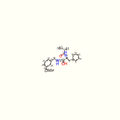 CCCCC(CC)C(=O)N[C@@H](Cc1ccccc1)[C@H](O)CNCc1cccc(OC)c1